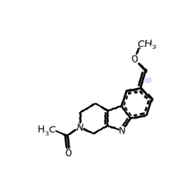 CO/C=c1/ccc2c(c1)C1=C(CN(C(C)=O)CC1)N=2